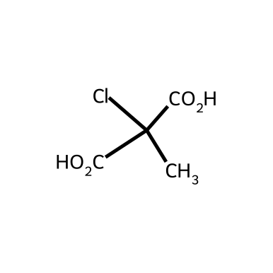 CC(Cl)(C(=O)O)C(=O)O